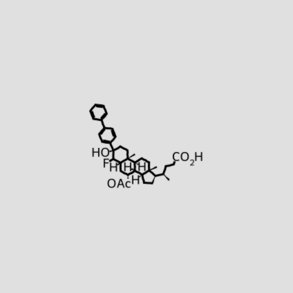 CC(=O)O[C@@H]1C[C@@H]2C(F)[C@](O)(c3ccc(-c4ccccc4)cc3)CC[C@]2(C)[C@H]2CC[C@]3(C)[C@@H]([C@H](C)CCC(=O)O)CC[C@H]3[C@H]12